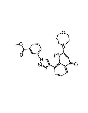 COC(=O)c1cccc(-n2cc(-c3cccc4c(=O)cc(N5CCCOCC5)[nH]c34)nn2)c1